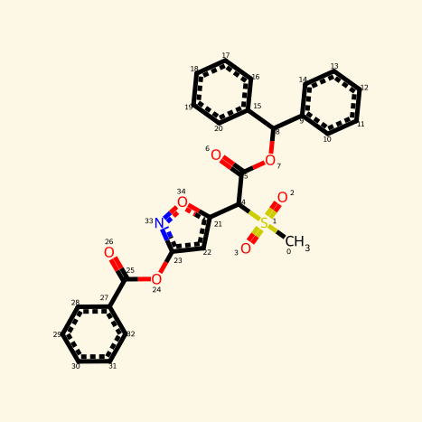 CS(=O)(=O)C(C(=O)OC(c1ccccc1)c1ccccc1)c1cc(OC(=O)c2ccccc2)no1